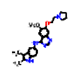 COc1cc2c(Nc3ccc4[nH]c(C)c(C)c4c3)ncnc2cc1OCCN1CCCC1